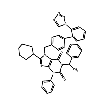 CC(c1ccccc1)n1c(=O)c2c(nc(C3CCCCC3)n2Cc2ccc(-c3ccccc3-n3cnnn3)cc2)n(-c2ccccc2)c1=O